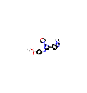 COC(=O)c1ccc(Nc2cc(-c3ccc4ncn(C)c4c3)nc(N3CCOCC3)n2)cc1